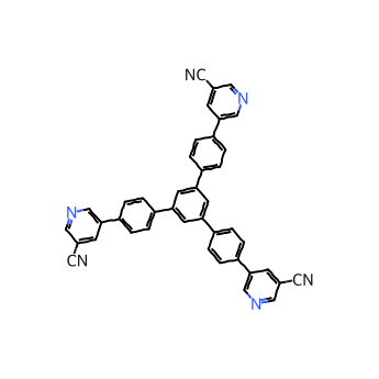 N#Cc1cncc(-c2ccc(-c3cc(-c4ccc(-c5cncc(C#N)c5)cc4)cc(-c4ccc(-c5cncc(C#N)c5)cc4)c3)cc2)c1